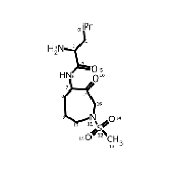 CC(C)C[C@H](N)C(=O)NC1CCCN(S(C)(=O)=O)CC1=O